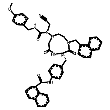 COc1ccc(CNC(=O)N(CC#N)N2CCN(Cc3cccc4ccccc34)C(=O)[C@H](Cc3ccc(NC(=O)c4cccc5ccccc45)cc3)NC(=O)C2)cc1